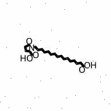 O=C(O)CCCCCCCCCCCCCCCN1C(=O)CCC1C(=O)O